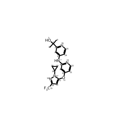 CC(C)(O)c1cc(Nc2cc(Oc3cc(C(F)(F)F)nn3C3CC3)ccn2)ccn1